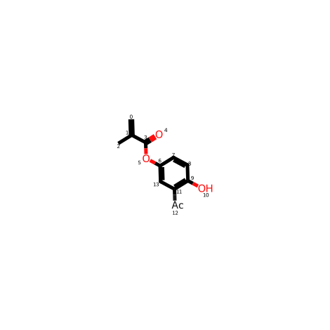 C=C(C)C(=O)Oc1ccc(O)c(C(C)=O)c1